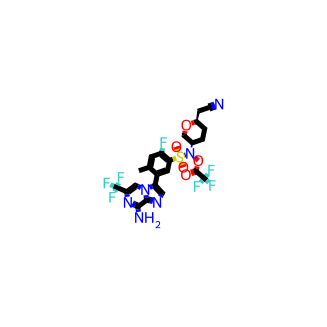 Cc1cc(F)c(S(=O)(=O)N(OC(=O)C(F)(F)F)[C@H]2CC[C@H](CC#N)OC2)cc1-c1cnc2c(N)nc(C(F)(F)F)cn12